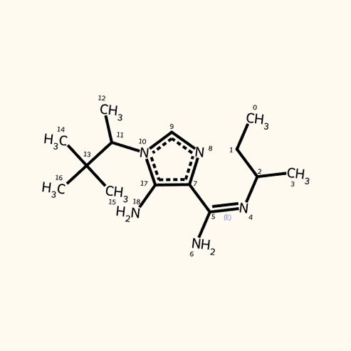 CCC(C)/N=C(/N)c1ncn(C(C)C(C)(C)C)c1N